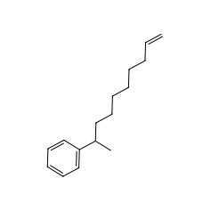 C=CCCCCCCC(C)c1ccccc1